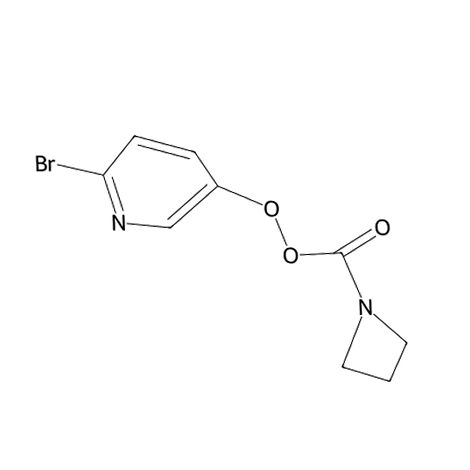 O=C(OOc1ccc(Br)nc1)N1CCC1